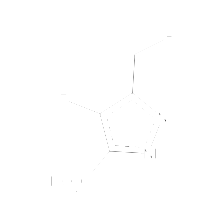 O=C(O)c1[nH]nc(CF)c1F